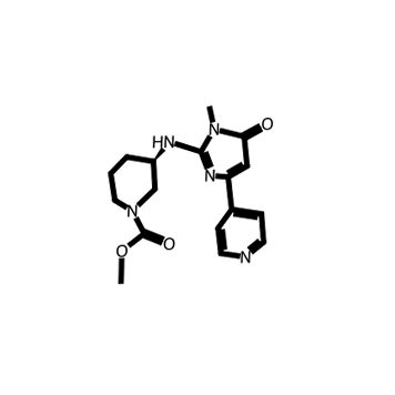 COC(=O)N1CCC[C@@H](Nc2nc(-c3ccncc3)cc(=O)n2C)C1